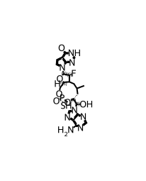 CC1CC2[C@@H](COP(=O)(S)O[C@@H]([C@@H](O)n3cnc4c(N)ncnc43)C1)O[C@@H](n1ccc3c(=O)[nH]cnc31)[C@H]2F